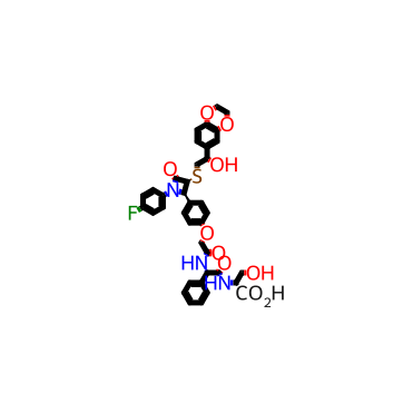 O=C(COc1ccc([C@@H]2[C@@H](SCC(O)c3ccc4c(c3)OCCO4)C(=O)N2c2ccc(F)cc2)cc1)N[C@@H](C(=O)N[C@@H](CO)C(=O)O)c1ccccc1